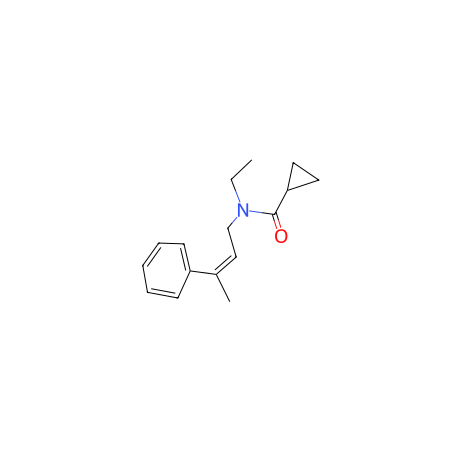 CCN(C/C=C(/C)c1ccccc1)C(=O)C1CC1